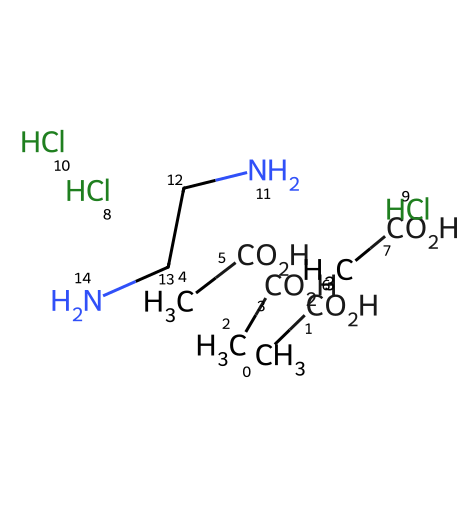 CC(=O)O.CC(=O)O.CC(=O)O.CC(=O)O.Cl.Cl.Cl.NCCN